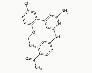 CCOc1ccc(Cl)cc1-c1cc(Nc2ccc(C(C)=O)cc2)nc(N)n1